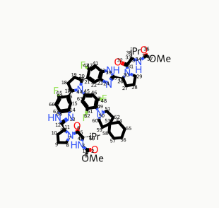 COC(=O)N[C@H](C(=O)N1CCC[C@H]1c1nc2cc([C@H]3CC[C@H](c4cc5nc([C@@H]6CCCN6C(=O)[C@@H](NC(=O)OC)C(C)C)[nH]c5cc4F)N3c3cc(F)c(N4CCC5(CCCCC5)CC4)c(F)c3)c(F)cc2[nH]1)C(C)C